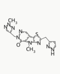 Cn1ncc(Cn2ncc3c4sc(Cc5cc[nH]n5)nc4n(C)c3c2=O)n1